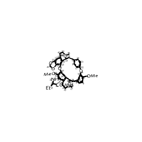 CCC(N)C(=O)O.COc1ccc2cc1Oc1ccc(cc1)C[C@H]1c3c(cc4c(c3Oc3cc5c(cc3OC)CCN(C)[C@@H]5C2)OCO4)CCN1C